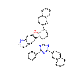 c1ccc(-c2nc(-c3ccc4ccccc4c3)nc(-c3ccc(-c4ccc5ccccc5c4)c4oc5cc6ncccc6cc5c34)n2)cc1